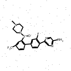 CN1CCN([S+]([O-])c2cc(C(F)(F)F)ccc2-c2ccc(-c3cnc(N)cn3)c(F)c2)CC1